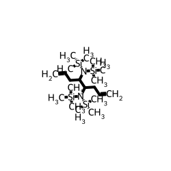 C=CCC(C(CC=C)N([Si](C)(C)C)[Si](C)(C)C)N([Si](C)(C)C)[Si](C)(C)C